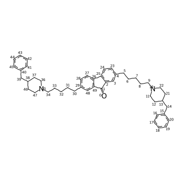 O=C1c2cc(CCCCCN3CCC(Cc4ccccc4)CC3)ccc2-c2ccc(CCCCCN3CCC(Cc4ccccc4)CC3)cc21